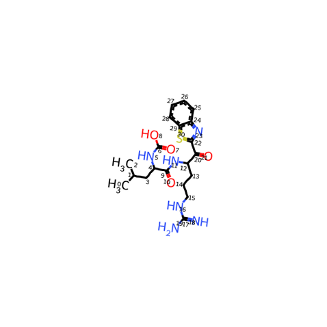 CC(C)CC(NC(=O)O)C(=O)NC(CCCNC(=N)N)C(=O)c1nc2ccccc2s1